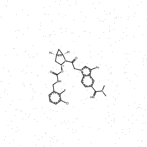 CC(=O)c1cn(CC(=O)N2[C@@H](OC(=O)NCc3cccc(Cl)c3F)C[C@H]3C[C@H]32)c2ccc(C(=N)N(C)C)cc12